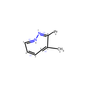 CC1=C\C=C/C=N/N=C\1C(C)C